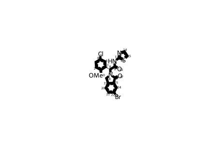 COc1ccc(Cl)cc1[C@H](C(=O)Nc1nccs1)N1Cc2ccc(Br)cc2C1=O